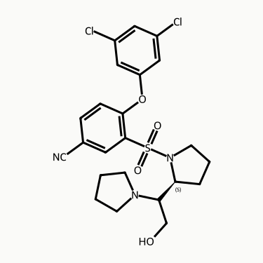 N#Cc1ccc(Oc2cc(Cl)cc(Cl)c2)c(S(=O)(=O)N2CCC[C@H]2C(CO)N2CCCC2)c1